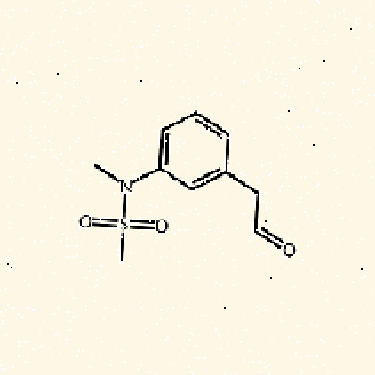 CN(c1cccc(CC=O)c1)S(C)(=O)=O